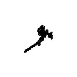 CCCCCCCCCCCCCC(=O)OCc1ccc(C(=O)Oc2c3n(cc(C(=O)NCc4ccc(F)cc4F)c2=O)[C@@H]2CN(C3=O)[C@@H](C)CC[C@]23CC(C)=NO3)cc1